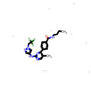 CCCCNC(=O)c1ccc(-c2nc(Nc3cnn(CC(F)(F)F)c3)ncc2C)cc1